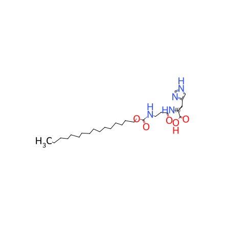 CCCCCCCCCCCCCCCCOC(=O)NCCC(=O)N[C@@H](Cc1c[nH]cn1)C(=O)O